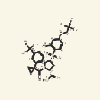 O=C(O)[C@H]1C[C@@H](S(=O)(=O)c2ccc(OCC(F)(F)F)cc2Cl)CN1C(=O)C1(c2cccc(C(F)(F)F)c2)CC1